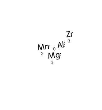 [Al].[Mg].[Mn].[Zr]